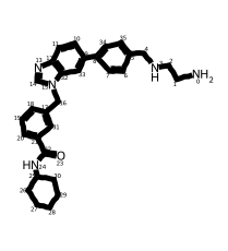 NCCNCc1ccc(-c2ccc3ncn(Cc4cccc(C(=O)NC5CCCCC5)c4)c3c2)cc1